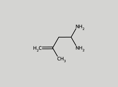 C=C(C)CC(N)N